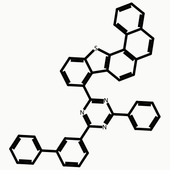 c1ccc(-c2cccc(-c3nc(-c4ccccc4)nc(-c4cccc5sc6c(ccc7ccc8ccccc8c76)c45)n3)c2)cc1